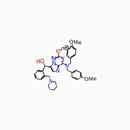 CCCCOc1nc(N(Cc2ccc(OC)cc2)Cc2ccc(OC)cc2)c2ncc(C(O)c3ccccc3CN3CCCCC3)n2n1